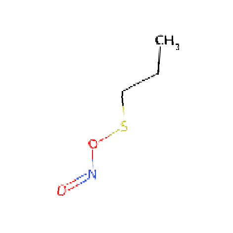 CCCSON=O